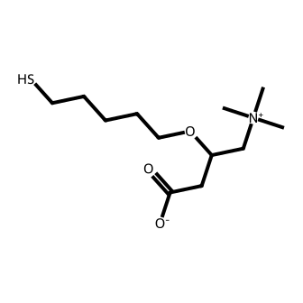 C[N+](C)(C)CC(CC(=O)[O-])OCCCCCS